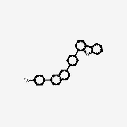 FC(F)(F)c1ccc(-c2ccc3ccc(-c4ccc(-c5cccc6c5oc5ccccc56)cc4)cc3c2)cc1